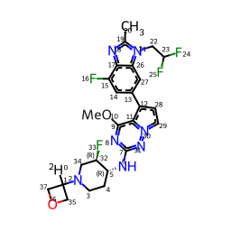 [2H]C1(N2CC[C@@H](Nc3nc(OC)c4c(-c5cc(F)c6nc(C)n(CC(F)F)c6c5)ccn4n3)[C@H](F)C2)COC1